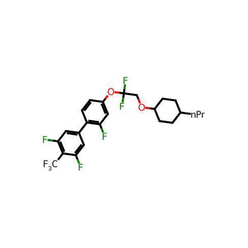 CCCC1CCC(OCC(F)(F)Oc2ccc(-c3cc(F)c(C(F)(F)F)c(F)c3)c(F)c2)CC1